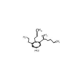 CCCCC(N)c1cccc(CCC)c1CCC.Cl